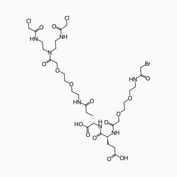 O=C(O)CC[C@H](NC(=O)COCCOCCNC(=O)CBr)C(=O)N[C@@H](CCC(=O)NCCOCCOCC(=O)N(CCNC(=O)CCl)CCNC(=O)CCl)C(=O)O